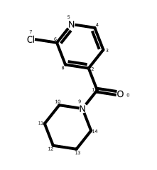 O=C(c1ccnc(Cl)c1)N1CCCCC1